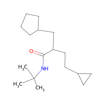 CC(C)(C)NC(=O)C(CCC1CC1)CC1CCCC1